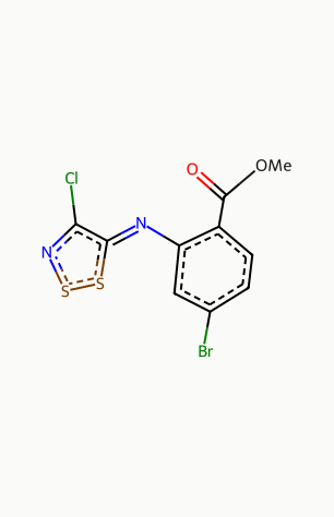 COC(=O)c1ccc(Br)cc1/N=c1\ssnc1Cl